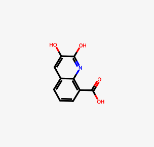 O=C(O)c1cccc2cc(O)c(O)nc12